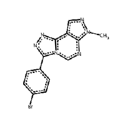 Cn1ncc2c1ncn1c(-c3ccc(Br)cc3)nnc21